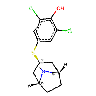 CN1[C@@H]2CC[C@H]1C[C@H](Sc1cc(Cl)c(O)c(Cl)c1)C2